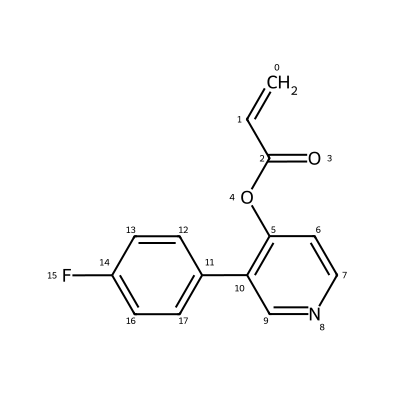 C=CC(=O)Oc1ccncc1-c1ccc(F)cc1